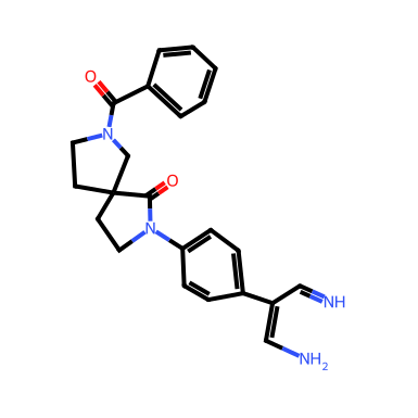 N=C/C(=C\N)c1ccc(N2CCC3(CCN(C(=O)c4ccccc4)C3)C2=O)cc1